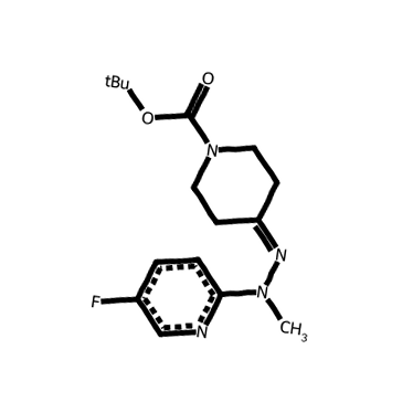 CN(N=C1CCN(C(=O)OC(C)(C)C)CC1)c1ccc(F)cn1